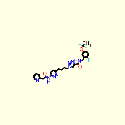 CC(F)(F)Oc1ccc(F)c(CNC(=O)c2cn(CCCCc3ccc(NC(=O)Cc4ccccn4)nn3)nn2)c1